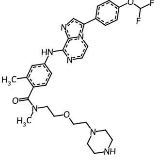 Cc1cc(Nc2nccn3c(-c4ccc(OC(F)F)cc4)cnc23)ccc1C(=O)N(C)CCOCCN1CCNCC1